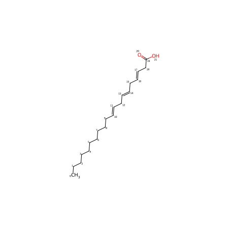 CCCCCCCCCCC=CCC=CCC=CCC(=O)O